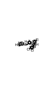 O=S(=O)(Nc1cc(Cl)cnc1Oc1cccc(CNC[C@@H](CO)Cc2c[nH]cn2)c1)c1ccc(Cl)c(Cl)c1